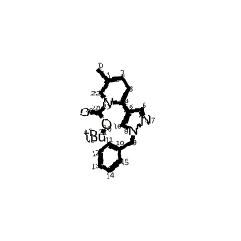 CC1CC=C(c2cnn(Cc3ccccc3)c2)N(C(=O)OC(C)(C)C)C1